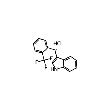 Cl.FC(F)(F)c1ccccc1[CH]c1c[nH]c2ccccc12